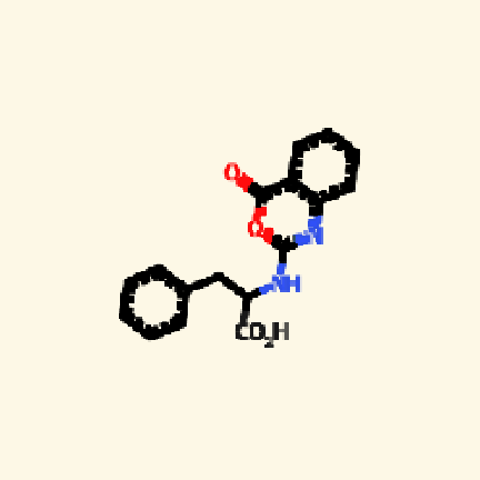 O=C(O)C(Cc1ccccc1)Nc1nc2ccccc2c(=O)o1